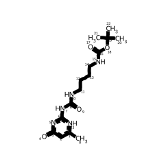 Cc1cc(=O)nc(NC(=O)NCCCCNC(=O)OC(C)(C)C)[nH]1